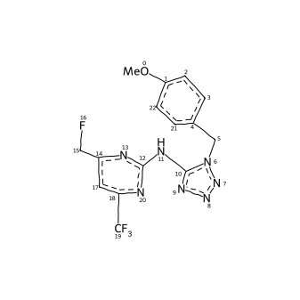 COc1ccc(Cn2nnnc2Nc2nc(CF)cc(C(F)(F)F)n2)cc1